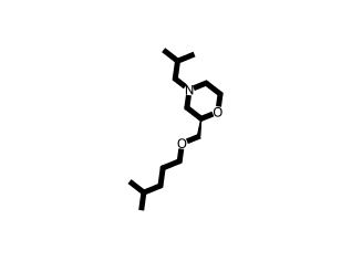 CC(C)CCCOC[C@H]1CN(CC(C)C)CCO1